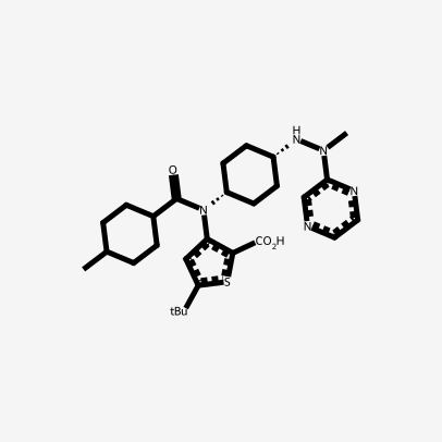 CC1CCC(C(=O)N(c2cc(C(C)(C)C)sc2C(=O)O)[C@H]2CC[C@@H](NN(C)c3cnccn3)CC2)CC1